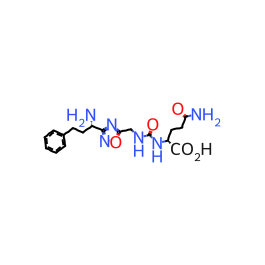 NC(=O)CC[C@H](NC(=O)NCc1nc([C@@H](N)CCc2ccccc2)no1)C(=O)O